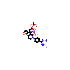 CC(=O)OC(=O)CC(N)(c1ccoc1)C1CCCN(c2ccc(C(=N)N)cc2)C1=O